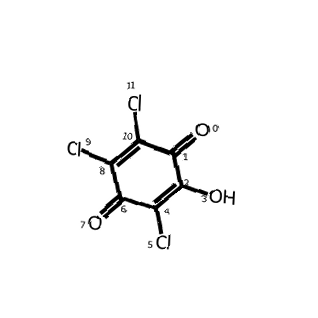 O=C1C(O)=C(Cl)C(=O)C(Cl)=C1Cl